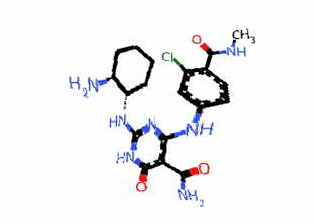 CNC(=O)c1ccc(Nc2nc(N[C@H]3CCCC[C@@H]3N)[nH]c(=O)c2C(N)=O)cc1Cl